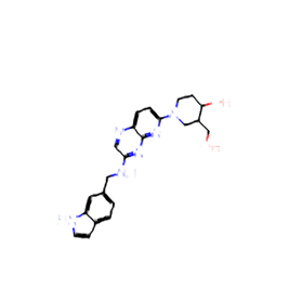 OCC1CN(c2ccc3ncc(NCc4ccc5cc[nH]c5c4)nc3n2)CCC1O